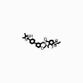 CCc1c(C(=O)N2CCOc3ccc(-c4ccc(-c5nc(C)c(C)[nH]5)cc4)cc3C2)ccc(S(=O)(=O)CC)c1F